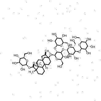 C=C1C[C@]23CC[C@H]4C(C)(C(=O)O[C@@H]5O[C@H](CO)[C@@H](O)[C@H](O)[C@H]5O)CCC[C@]4(C)[C@H]2CC[C@]1(O[C@@H]1O[C@H](CO)[C@@H](O)[C@H](O[C@@H]2O[C@H](CO)[C@@H](O[C@H]4O[C@H](CO)[C@@H](O)[C@H](O)[C@H]4O)[C@H](O)[C@H]2O)[C@H]1O[C@@H]1O[C@H](CO)[C@@H](O)[C@H](O)[C@H]1O)C3